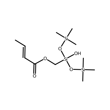 CC=CC(=O)OC[Si](O)(O[Si](C)(C)C)O[Si](C)(C)C